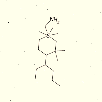 CCCC(CC)C1CCS(C)(C)(C)(CN)CC1(C)C